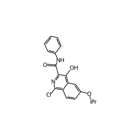 CC(C)Oc1ccc2c(Cl)nc(C(=O)Nc3[c]cccc3)c(O)c2c1